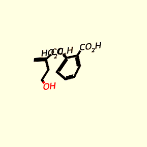 C=C(CCO)C(=O)O.O=C(O)c1ccccc1C(=O)O